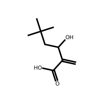 C=C(C(=O)O)C(O)CC(C)(C)C